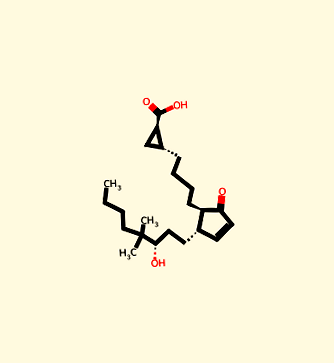 CCCCC(C)(C)[C@@H](O)CC[C@H]1C=CC(=O)[C@@H]1CCCC[C@@H]1C[C@H]1C(=O)O